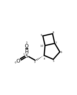 O=[SH](=O)C[C@H]1CCC2CCC21